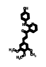 COc1cc(/C=C/C(=O)c2cccnc2Nc2ccc(O)cc2)cc(OC)c1OC